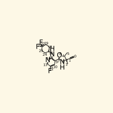 C#CC(C)(CC)NC(=O)c1cc(F)cnc1NC1CCC(F)(F)CC1